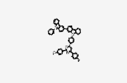 Fc1ccc(-c2cc(-c3ccc(-n4c5ccccc5c5ccc(-c6ccc7c(c6)c6ccccc6n7-c6ccccc6)cc54)cc3)nc(-c3ccc(F)cc3)n2)cc1